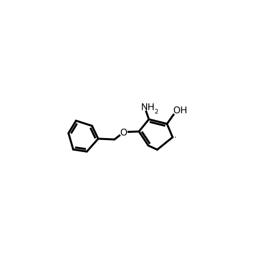 NC1=C(O)[CH]CC=C1OCc1ccccc1